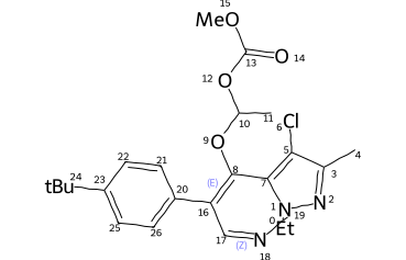 CCn1nc(C)c(Cl)c1/C(OC(C)OC(=O)OC)=C(\C=N/C)c1ccc(C(C)(C)C)cc1